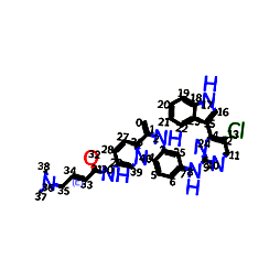 C=C(Nc1cccc(Nc2ncc(Cl)c(-c3c[nH]c4ccccc34)n2)c1)c1ccc(NC(=O)/C=C/CN(C)C)cn1